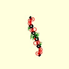 C=CC(=O)OCOc1ccc(C(=O)Oc2ccc(C(c3ccc(OC(=O)c4ccc(OCOC(=O)C=C)cc4F)cc3)(C(F)(F)F)C(F)(F)F)cc2)c(F)c1